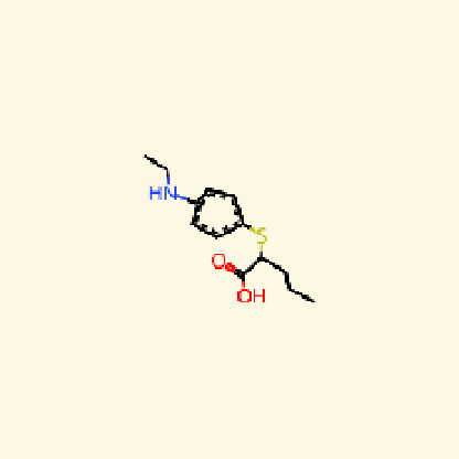 CCCC(Sc1ccc(NCC)cc1)C(=O)O